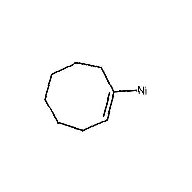 [Ni][C]1=CCCCCCC1